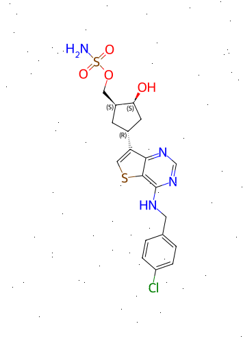 NS(=O)(=O)OC[C@@H]1C[C@@H](c2csc3c(NCc4ccc(Cl)cc4)ncnc23)C[C@@H]1O